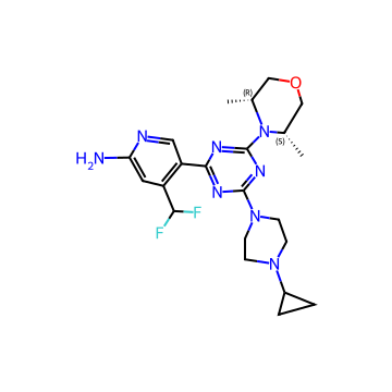 C[C@@H]1COC[C@H](C)N1c1nc(-c2cnc(N)cc2C(F)F)nc(N2CCN(C3CC3)CC2)n1